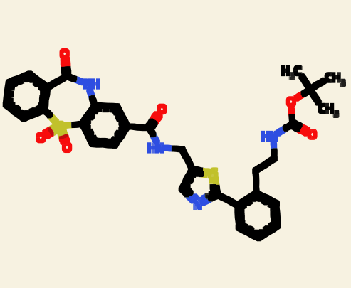 CC(C)(C)OC(=O)NCCc1ccccc1-c1ncc(CNC(=O)c2ccc3c(c2)NC(=O)c2ccccc2S3(=O)=O)s1